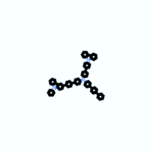 c1ccc(-c2ccc(-c3ccc(N(c4ccc(-c5ccc(-c6ccc7c(c6)c6ccccc6n7-c6ccccc6)cc5)cc4)c4ccc(-c5ccc(-n6c7ccccc7c7ccccc76)cc5)cc4)cc3)cc2)cc1